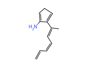 C=C/C=C\C=C(/C)C1=CCC=C1N